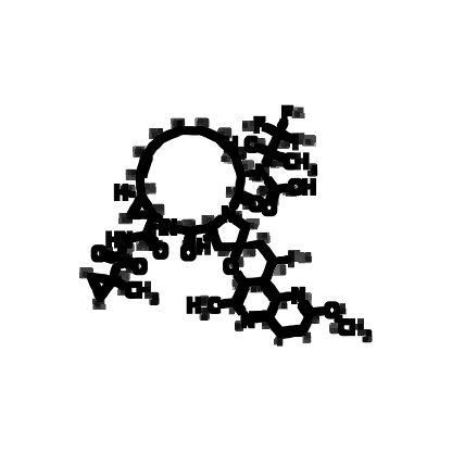 COc1ccc2nc(C)c3c(c2n1)[C@H](F)C[C@]1(C[C@H]2C(=O)N[C@]4(C(=O)NS(=O)(=O)C5(C)CC5)C[C@H]4/C=C\CCCCC[C@H](N(C(=O)O)C(C)(C)C(F)(F)F)C(=O)N2C1)O3